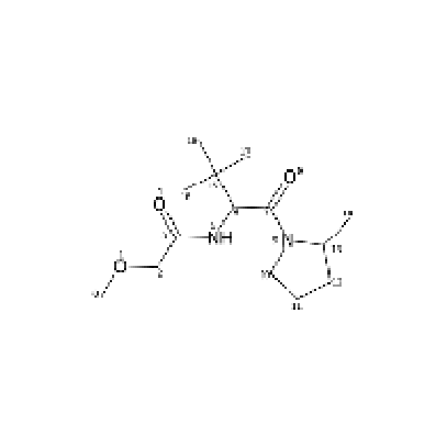 COCC(=O)NC(C(=O)N1CCCC1C)C(C)(C)C